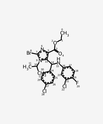 CCOC(=O)c1nc(Br)n(C(C)C)c1C(Nc1ccc(F)c(Cl)c1)c1ccc(Cl)cc1